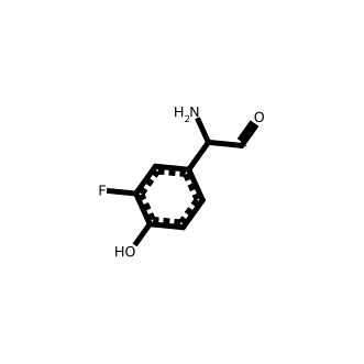 NC([C]=O)c1ccc(O)c(F)c1